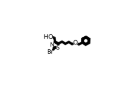 OCc1nc(Br)sc1CCCCOCc1ccccc1